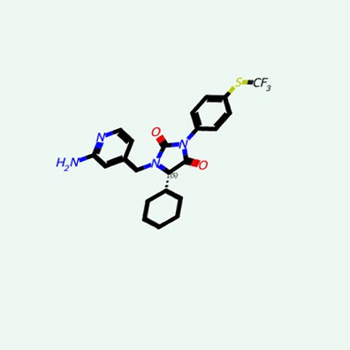 Nc1cc(CN2C(=O)N(c3ccc(SC(F)(F)F)cc3)C(=O)[C@@H]2C2CCCCC2)ccn1